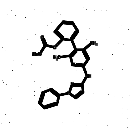 COC(=O)Oc1ccccc1-c1c(C)cc(Nc2ccn(-c3ccccc3)n2)cc1C